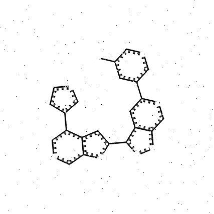 Nc1cncc(-c2cc3c(-c4cc5c(-c6ccsc6)cncc5[nH]4)n[nH]c3cn2)c1